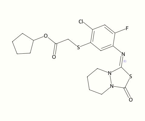 O=C(CSc1cc(/N=c2/sc(=O)n3n2CCCC3)c(F)cc1Cl)OC1CCCC1